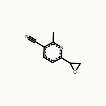 Cc1nc(C2CO2)ccc1C#N